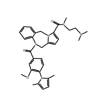 COc1cc(C(=O)N2Cc3ccc(C(=O)N(C)CCN(C)C)n3Cc3ccccc32)ccc1-n1c(C)ccc1C